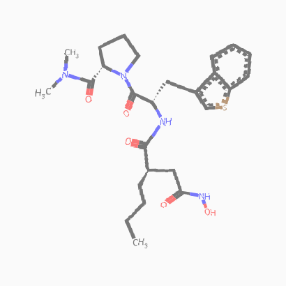 CCCC[C@H](CC(=O)NO)C(=O)N[C@@H](Cc1csc2ccccc12)C(=O)N1CCC[C@H]1C(=O)N(C)C